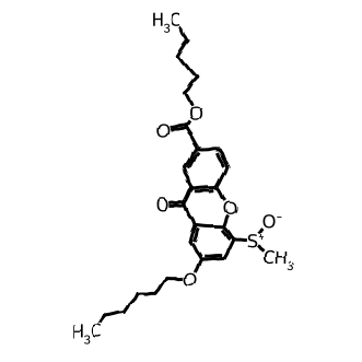 CCCCCCOc1cc([S+](C)[O-])c2oc3ccc(C(=O)OCCCCC)cc3c(=O)c2c1